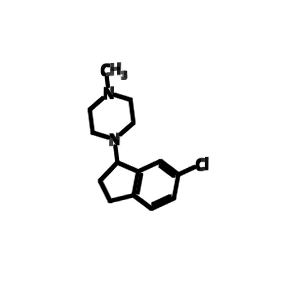 CN1CCN(C2CCc3ccc(Cl)cc32)CC1